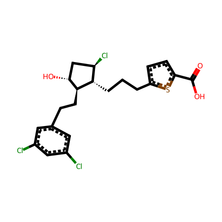 O=C(O)c1ccc(CCC[C@@H]2[C@@H](CCc3cc(Cl)cc(Cl)c3)[C@H](O)C[C@H]2Cl)s1